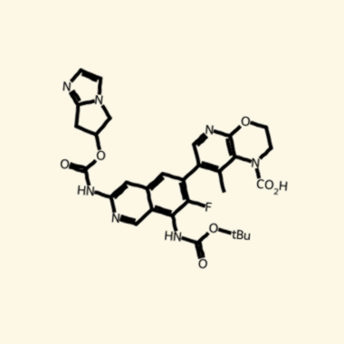 Cc1c(-c2cc3cc(NC(=O)OC4Cc5nccn5C4)ncc3c(NC(=O)OC(C)(C)C)c2F)cnc2c1N(C(=O)O)CCO2